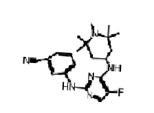 CN1C(C)(C)CC(Nc2nc(Nc3cccc(C#N)c3)ncc2F)CC1(C)C